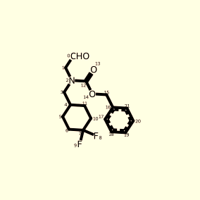 O=CCN(CC1CCC(F)(F)CC1)C(=O)OCc1ccccc1